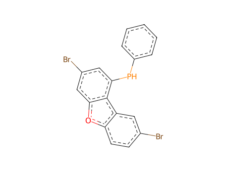 Brc1cc(Pc2ccccc2)c2c(c1)oc1ccc(Br)cc12